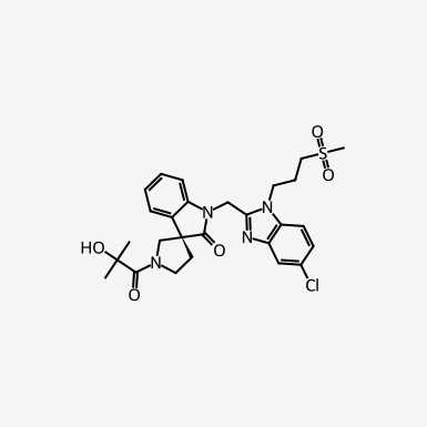 CC(C)(O)C(=O)N1CC[C@]2(C1)C(=O)N(Cc1nc3cc(Cl)ccc3n1CCCS(C)(=O)=O)c1ccccc12